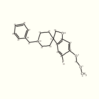 COCOc1cc2c(cc1F)C1(CCN(Cc3ccccc3)CC1)CO2